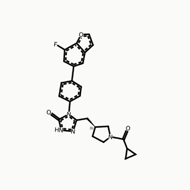 O=C(C1CC1)N1CC[C@@H](Cc2n[nH]c(=O)n2-c2ccc(-c3cc(F)c4occc4c3)cc2)C1